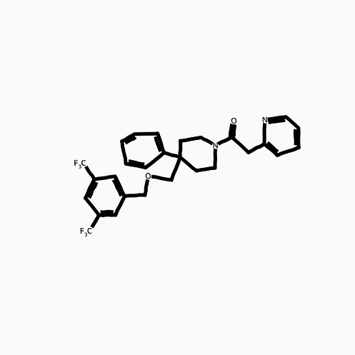 O=C(Cc1ccccn1)N1CCC(COCc2cc(C(F)(F)F)cc(C(F)(F)F)c2)(c2ccccc2)CC1